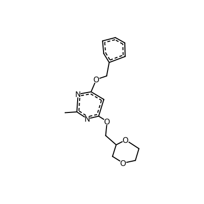 Cc1nc(OCc2ccccc2)cc(OCC2COCCO2)n1